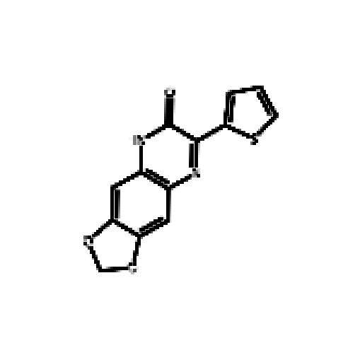 O=c1[nH]c2cc3c(cc2nc1-c1cccs1)OCO3